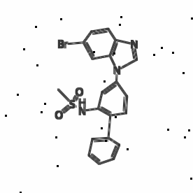 CS(=O)(=O)Nc1cc(-n2cnc3ccc(Br)cc32)ccc1-c1ccccc1